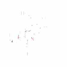 O=C([O-])c1cccc(CN(C(=O)O[C@H]2CN3CCC2CC3)c2ccccc2F)c1[C@@H](Cc1c(Cl)c[n+](O)cc1Cl)c1ccc(OC(F)F)c(OC(F)F)c1